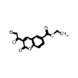 CCOC(=O)c1ccc2oc(=O)c(C(=O)C=O)cc2c1